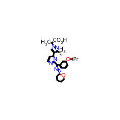 Cc1nn(C(C)C(=O)O)cc1-c1ccnc(-c2nn(C3CCCCO3)c3ccc(OC(C)C)cc23)n1